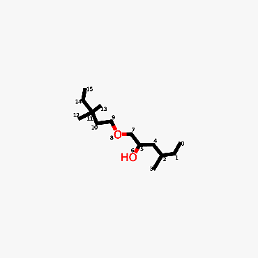 CCC(C)CC(O)COCCC(C)(C)CC